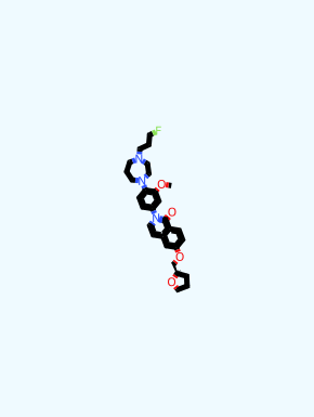 COc1cc(-n2ccc3cc(OC[C@H]4CCCO4)ccc3c2=O)ccc1N1CCCN(CCCF)CC1